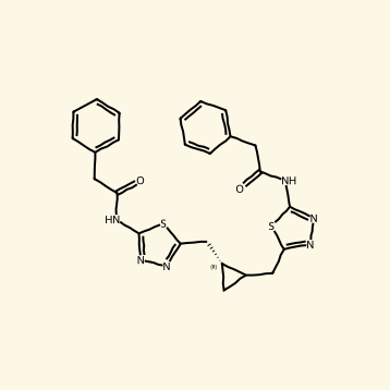 O=C(Cc1ccccc1)Nc1nnc(CC2C[C@@H]2Cc2nnc(NC(=O)Cc3ccccc3)s2)s1